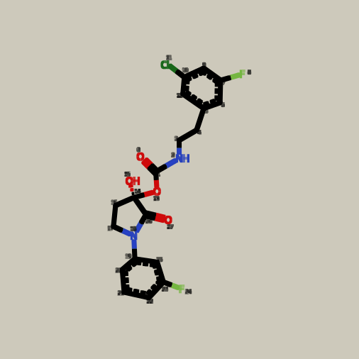 O=C(NCCc1cc(F)cc(Cl)c1)O[C@]1(O)CCN(c2cccc(F)c2)C1=O